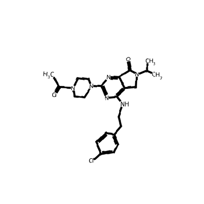 CC(=O)N1CCN(c2nc(NCCc3ccc(Cl)cc3)c3c(n2)C(=O)N(C(C)C)C3)CC1